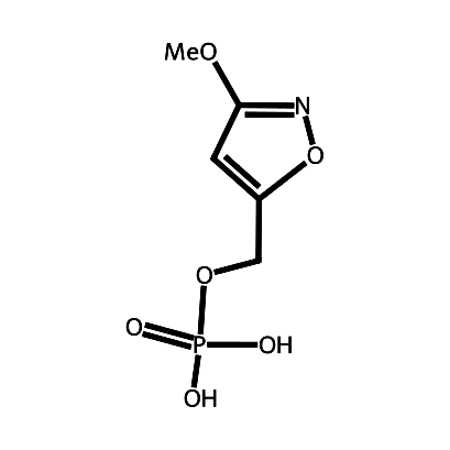 COc1cc(COP(=O)(O)O)on1